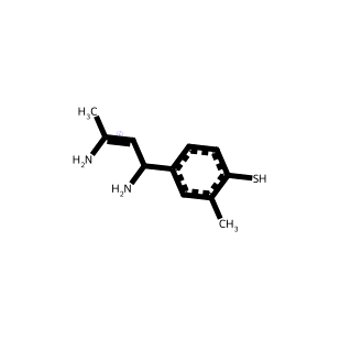 C/C(N)=C/C(N)c1ccc(S)c(C)c1